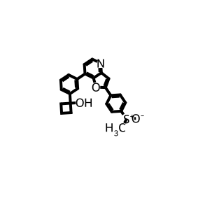 C[S+]([O-])c1ccc(-c2cc3nccc(-c4cccc(C5(O)CCC5)c4)c3o2)cc1